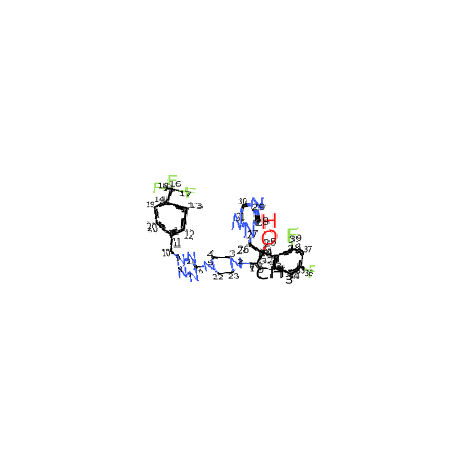 C[C@@H](N1CCN(c2nnn(Cc3ccc(C(F)(F)F)cc3)n2)CC1)[C@](O)(Cn1cncn1)c1ccc(F)cc1F